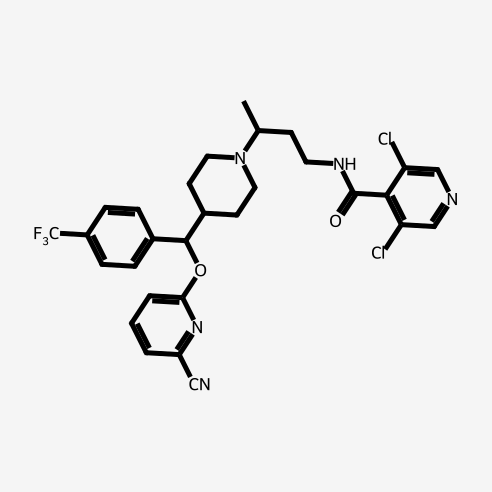 CC(CCNC(=O)c1c(Cl)cncc1Cl)N1CCC(C(Oc2cccc(C#N)n2)c2ccc(C(F)(F)F)cc2)CC1